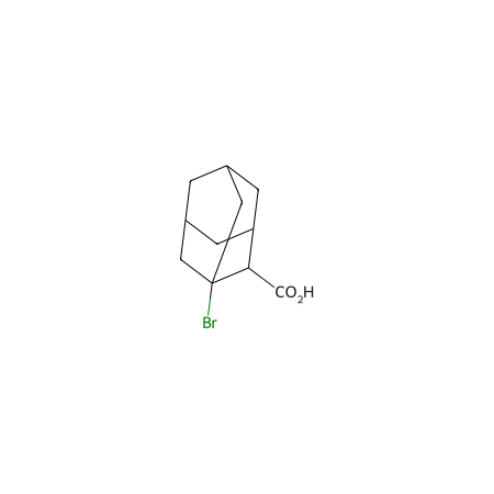 O=C(O)C1C2CC3CC(C2)CC1(Br)C3